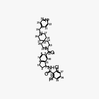 O=C(NC1CCc2ccc(C(=O)N3CCC4(CCN(Cc5ccncc5)CC4)CC3)cc21)c1c(F)cccc1Cl